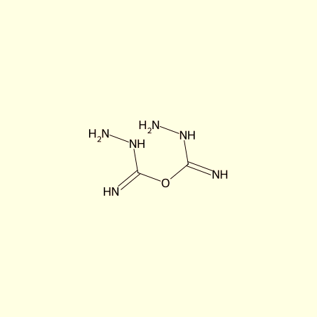 N=C(NN)OC(=N)NN